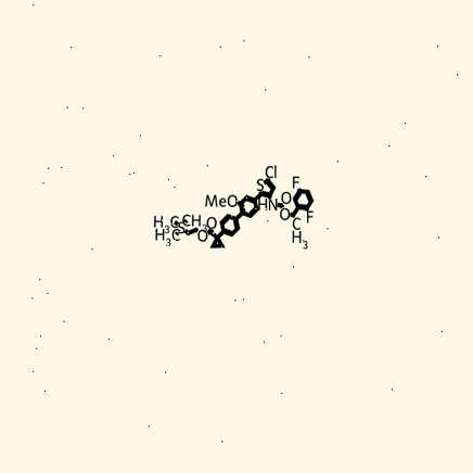 COc1cc(-c2sc(Cl)cc2NC(=O)O[C@H](C)c2cc(F)ccc2F)ccc1-c1ccc(C2(C(=O)OCCS(C)(C)C)CC2)cc1